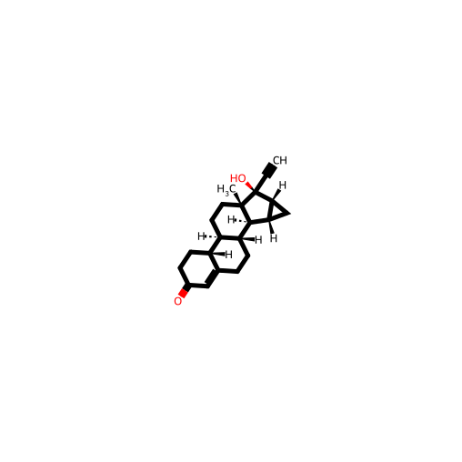 C#C[C@]1(O)[C@@H]2C[C@@H]2[C@H]2[C@@H]3CCC4=CC(=O)CC[C@@H]4[C@H]3CC[C@@]21C